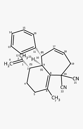 C=C(C)[C@H]1CCC(C)=C2[C@@H]1[C@H](c1ccccc1)C=CCC2(C#N)C#N